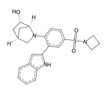 O=S(=O)(c1ccc(N2C[C@H]3C[C@H](O)[C@@H]2C3)c(-c2cc3ccccc3[nH]2)c1)N1CCC1